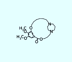 COc1cc2cc(c1OC)OCCCCCCN1CCCN(CCCOC2=O)CC1